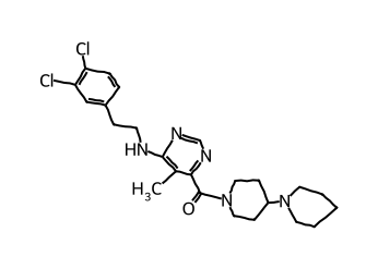 Cc1c(NCCc2ccc(Cl)c(Cl)c2)ncnc1C(=O)N1CCC(N2CCCCC2)CC1